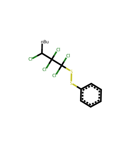 CCCCC(Cl)C(Cl)(Cl)C(Cl)(Cl)SSc1ccccc1